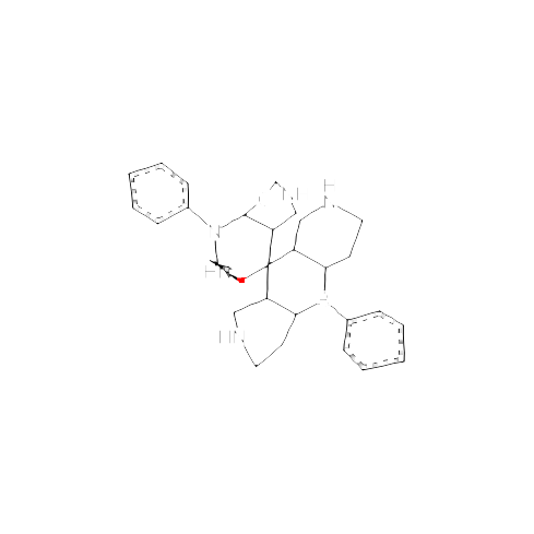 c1ccc(B2C3CCNCC3C3(C4CNCCC24)C2CNCCC2N(c2ccccc2)C2CCNCC23)cc1